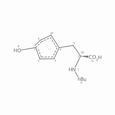 CCCCN[C@@H](Cc1ccc(O)cc1)C(=O)O